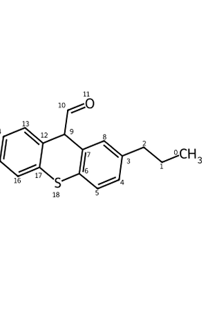 CCCc1ccc2c(c1)C(C=O)c1ccccc1S2